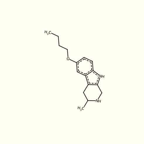 CCCCOc1ccc2[nH]c3c(c2c1)CC(C)NC3